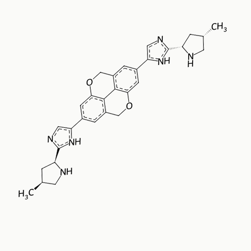 C[C@@H]1CN[C@H](c2ncc(-c3cc4c5c(c3)OCc3cc(-c6cnc([C@@H]7C[C@H](C)CN7)[nH]6)cc(c3-5)OC4)[nH]2)C1